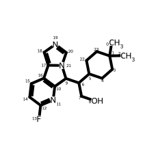 CC1(C)CCC(C(CO)C2c3nc(F)ccc3-c3cncn32)CC1